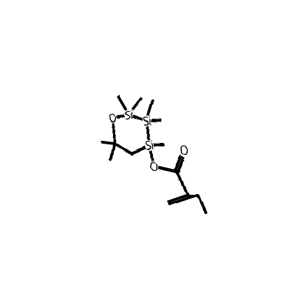 C=C(CC)C(=O)O[Si]1(C)CC(C)(C)O[Si](C)(C)[Si]1(C)C